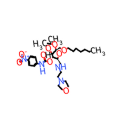 CCCCCCCOC[C@@]12O[C@@H](CNCCN3CCOCC3)[C@@H](OC(=O)Nc3ccc([N+](=O)[O-])cc3)[C@@H]1OC(C)(C)O2